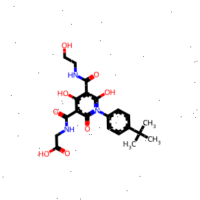 CC(C)(C)c1ccc(-n2c(O)c(C(=O)NCCO)c(O)c(C(=O)NCC(=O)O)c2=O)cc1